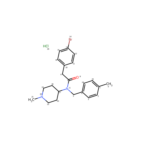 Cc1ccc(CN(C(=O)Cc2ccc(Br)cc2)C2CCN(C)CC2)cc1.Cl